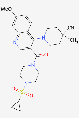 COc1ccc2c(N3CCC(C)(C#N)CC3)c(C(=O)N3CCN(S(=O)(=O)C4CC4)CC3)cnc2c1